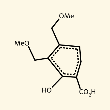 COCc1ccc(C(=O)O)c(O)c1COC